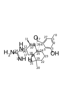 Cc1cc(O)cc(C(=O)[C@H]2[C@H](C)[C@H](NC(=N)N)C[C@H]3C(C)(C)CCC[C@]23C)c1